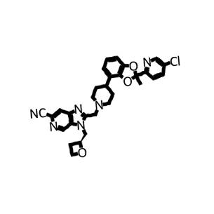 CC1(c2ccc(Cl)cn2)Oc2cccc(C3CCN(Cc4nc5cc(C#N)ncc5n4C[C@@H]4CCO4)CC3)c2O1